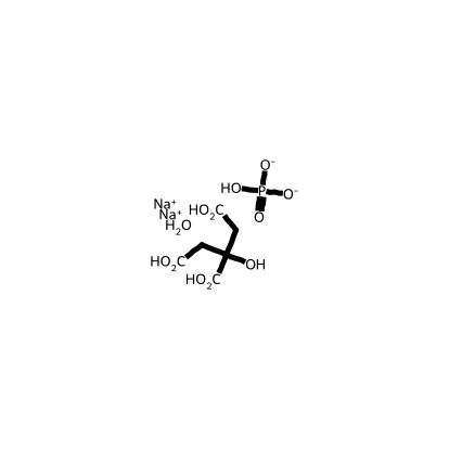 O.O=C(O)CC(O)(CC(=O)O)C(=O)O.O=P([O-])([O-])O.[Na+].[Na+]